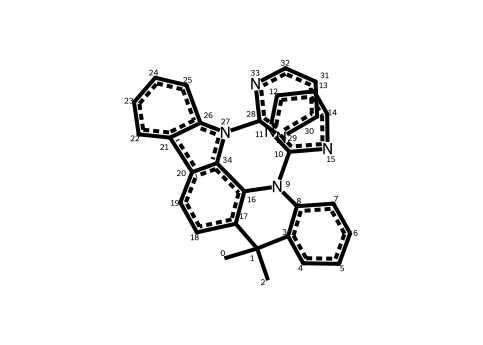 CC1(C)c2ccccc2N(c2ncccn2)c2c1ccc1c3ccccc3n(-c3ncccn3)c21